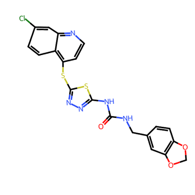 O=C(NCc1ccc2c(c1)OCO2)Nc1nnc(Sc2ccnc3cc(Cl)ccc23)s1